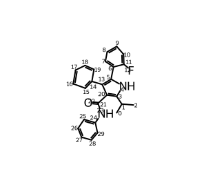 CC(C)c1[nH]c(-c2ccccc2F)c(-c2ccccc2)c1C(=O)Nc1ccccc1